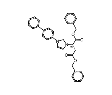 O=C(C[C@@H](C(=O)OCc1ccccc1)N1C=CN(c2ccc(-c3ccccc3)cc2)C1)OCc1ccccc1